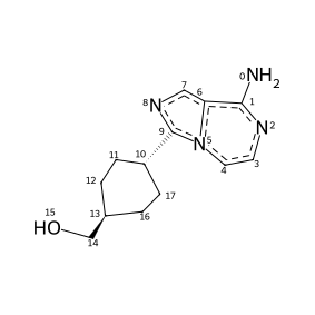 Nc1nccn2c1cnc2[C@H]1CC[C@H](CO)CC1